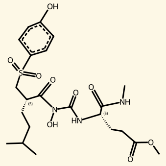 CNC(=O)[C@H](CCC(=O)OC)NC(=O)N(O)C(=O)[C@H](CCC(C)C)CS(=O)(=O)c1ccc(O)cc1